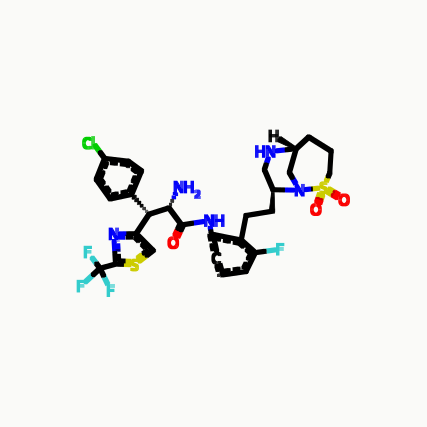 N[C@H](C(=O)Nc1cccc(F)c1CC[C@H]1CN[C@@H]2CCCS(=O)(=O)N1C2)[C@@H](c1ccc(Cl)cc1)c1csc(C(F)(F)F)n1